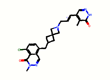 Cc1c(/C=C/CN2CC3(CC(Cc4ccc(Cl)c5c(=O)n(C)ncc45)C3)C2)cn[nH]c1=O